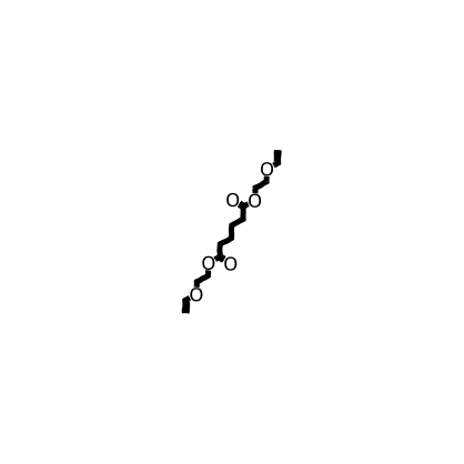 C=COCCOC(=O)CCCCC(=O)OCCOC=C